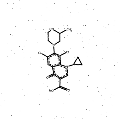 CC1CN(c2c(Cl)cc3c(=O)c(C(=O)O)cn(C4CC4)c3c2Cl)CCN1